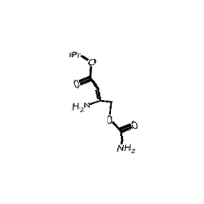 CC(C)OC(=O)/C=C(\N)COC(N)=O